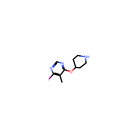 Cc1c(I)ncnc1OC1CCNCC1